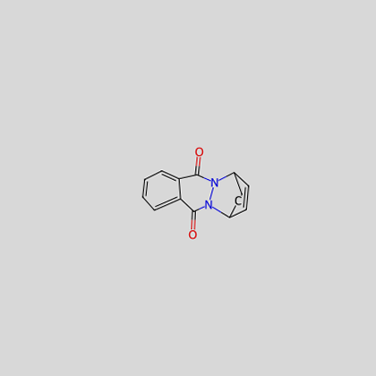 O=c1c2ccccc2c(=O)n2n1C1C=CC2CC1